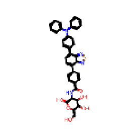 O=C(NC1C(O)OC(CO)C(O)C1O)c1ccc(-c2ccc(-c3ccc(N(c4ccccc4)c4ccccc4)cc3)c3nsnc23)cc1